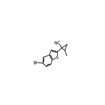 CC1CC1(C#N)c1cc2cc(Br)ccc2s1